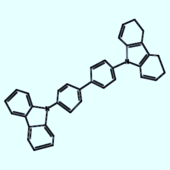 C1=Cc2c(c3c(n2-c2ccc(-c4ccc(-n5c6ccccc6c6ccccc65)cc4)cc2)C=CCC3)CC1